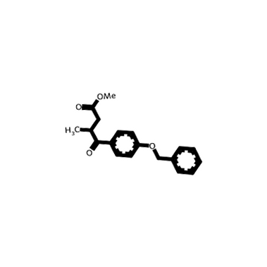 COC(=O)CC(C)C(=O)c1ccc(OCc2ccccc2)cc1